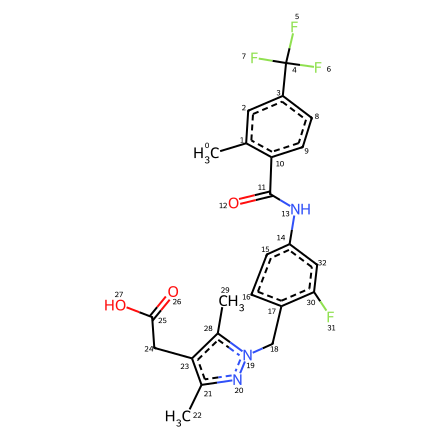 Cc1cc(C(F)(F)F)ccc1C(=O)Nc1ccc(Cn2nc(C)c(CC(=O)O)c2C)c(F)c1